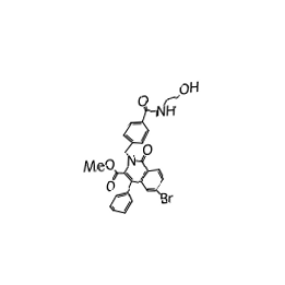 COC(=O)c1c(-c2ccccc2)c2cc(Br)ccc2c(=O)n1Cc1ccc(C(=O)NCCO)cc1